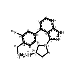 CC(=O)N[C@@H]1CCN(c2n[nH]c3nccc(-c4ccc(CN)c(F)c4)c23)C1